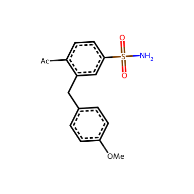 COc1ccc(Cc2cc(S(N)(=O)=O)ccc2C(C)=O)cc1